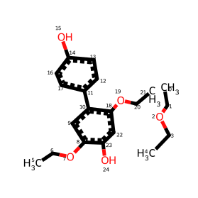 CCOCC.CCOc1cc(-c2ccc(O)cc2)c(OCC)cc1O